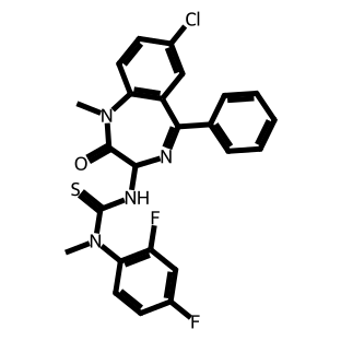 CN(C(=S)NC1N=C(c2ccccc2)c2cc(Cl)ccc2N(C)C1=O)c1ccc(F)cc1F